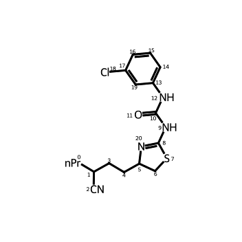 CCCC(C#N)CCC1CSC(NC(=O)Nc2cccc(Cl)c2)=N1